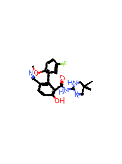 COc1ccc(F)cc1-c1c(C#N)ccc(O)c1C(=O)NC1=NCC(C)(C)CN1